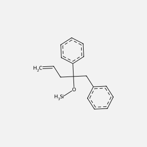 C=CCC(Cc1ccccc1)(O[SiH3])c1ccccc1